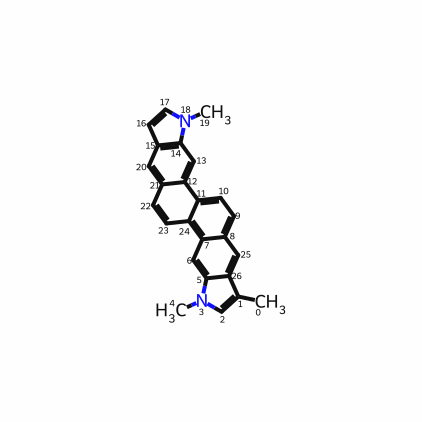 Cc1cn(C)c2cc3c(ccc4c5cc6c(ccn6C)cc5ccc34)cc12